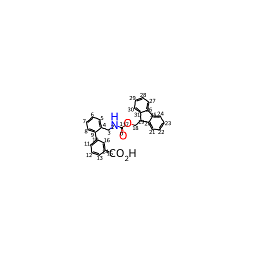 O=C(NCc1ccccc1-c1cccc(C(=O)O)c1)OCC1c2ccccc2-c2ccccc21